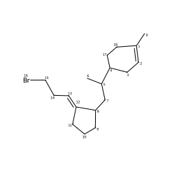 CC1=CCC(C(C)CC2CCCC2=CCCBr)CC1